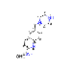 O=CNc1ccc2cc(CN3CCNCC3)ccc2n1